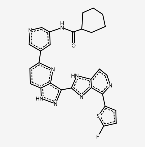 O=C(Nc1cncc(-c2ccc3[nH]nc(-c4nc5c(-c6ccc(F)s6)nccc5[nH]4)c3n2)c1)C1CCCCC1